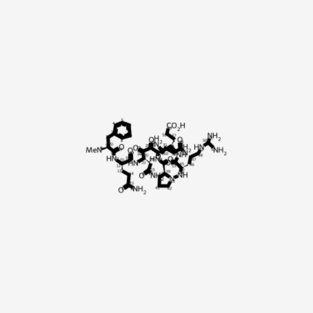 CN[C@@H](Cc1ccccc1)C(=O)N[C@@H](CCC(N)=O)C(=O)N[C@@H](CC(N)=O)C(=O)C(=O)[C@H](CCC(N)=O)NC(=O)[C@@H]1CCCN1N[C@@H](CCCNC(N)N)C(=O)N[C@@H](CCC(=O)O)C(N)=O